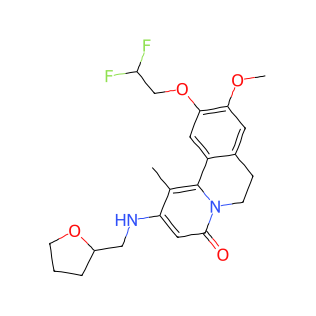 COc1cc2c(cc1OCC(F)F)-c1c(C)c(NCC3CCCO3)cc(=O)n1CC2